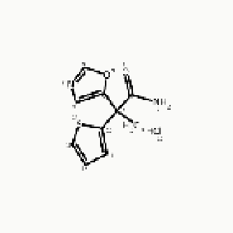 CC(C(N)=O)(c1cnco1)c1cccs1.Cl